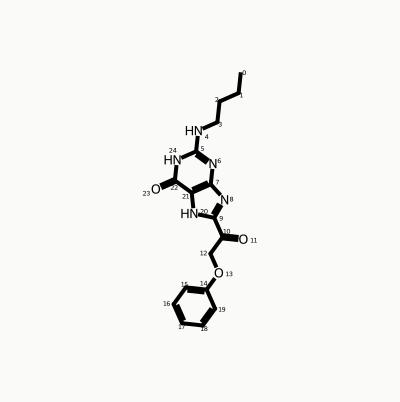 CCCCNc1nc2nc(C(=O)COc3ccccc3)[nH]c2c(=O)[nH]1